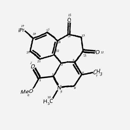 COC(=O)C1C2C(=C(C)CN1C)C(=O)CC(=O)c1cc(C(C)C)ccc12